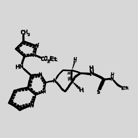 CCNC(=S)NC1[C@H]2CN(c3nc(Nc4cc(C)nn4C(=O)OCC)c4cccnc4n3)C[C@@H]12